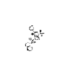 O=C(NC1CCCc2ccccc21)c1cnn2c1NC(c1ccccc1)CC2C(F)(F)F